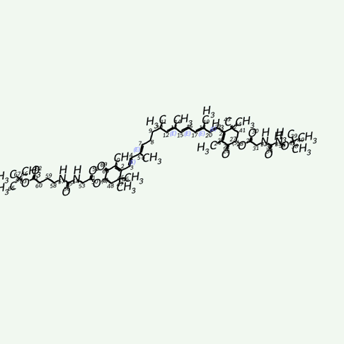 CC1=C(/C=C/C(C)=C/CCC(C)/C=C(C)/C=C/C=C(C)/C=C/C2=C(C)C(=O)[C@@H](OC(=O)CNC(=O)NOC(C)(C)C)CC2(C)C)C(C)(C)C[C@H](OC(=O)CNC(=O)NCCCC(=O)OC(C)(C)C)C1=O